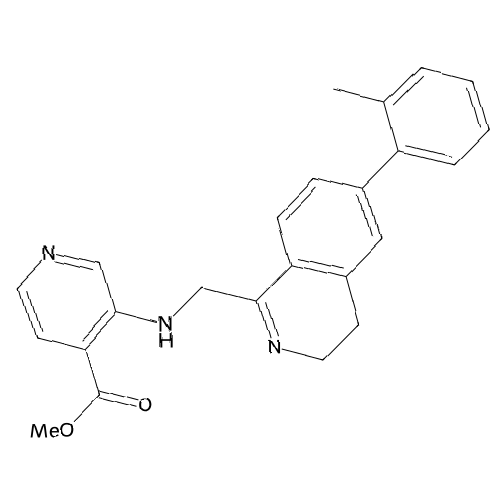 COC(=O)c1ccncc1NCC1=NCCc2cc(-c3ccccc3C)ccc21